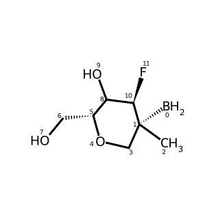 B[C@]1(C)CO[C@H](CO)C(O)[C@H]1F